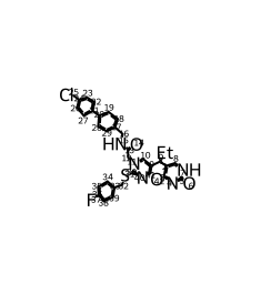 CCC(c1cnc(=O)[nH]c1)c1cn(CC(=O)NCc2ccc(-c3ccc(Cl)cc3)cc2)c(SCc2ccc(F)cc2)nc1=O